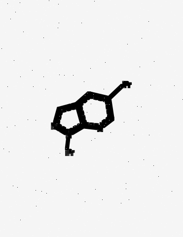 CC(C)c1cnc2c(cnn2C(C)C)c1